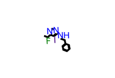 CC(F)c1ncnc(NCCc2ccccc2)c1I